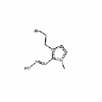 C[n+]1ccn(CCC(C)(C)C)c1/C=N/O